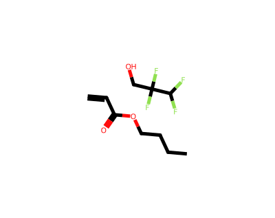 C=CC(=O)OCCCC.OCC(F)(F)C(F)F